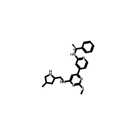 CSc1nc(NCC2CC(C)CN2)cc(-c2ccnc(N[C@@H](C)c3ccccc3)c2)n1